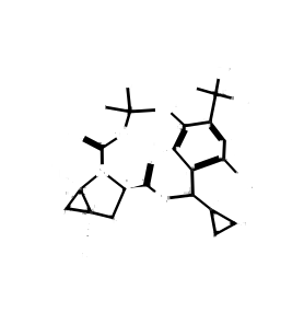 CC(C)(C)OC(=O)N1[C@@H](C(=O)NC(c2cc(F)c(C(F)(F)F)cc2F)C2CC2)C[C@H]2C[C@H]21